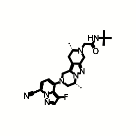 C[C@@H]1CN(c2ccc(C#N)n3ncc(F)c23)Cc2c3c(nn21)CN(CC(=O)NC(C)(C)C)[C@@H](C)C3